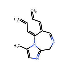 C=C/C=C1/C=NCc2ncc(C)n2/C1=C/C=C